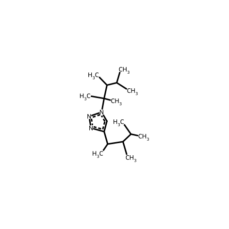 CC(C)C(C)C(C)c1cn(C(C)(C)C(C)C(C)C)nn1